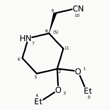 CCOC1(OCC)CCN[C@@H](CC#N)C1